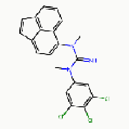 CN(C(=N)N(C)c1ccc2c3c(cccc13)C=C2)c1cc(Cl)c(Cl)c(Cl)c1